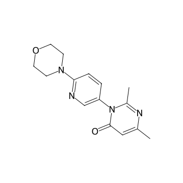 Cc1cc(=O)n(-c2ccc(N3CCOCC3)nc2)c(C)n1